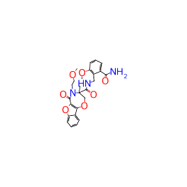 COCCN1C(=O)c2oc3ccccc3c2OCC1(C)C(=O)NCc1c(OC)cccc1C(N)=O